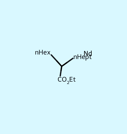 CCCCCCCC(CCCCCC)C(=O)OCC.[Nd]